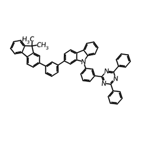 CC1(C)c2ccccc2-c2ccc(-c3cccc(-c4ccc5c6ccccc6n(-c6cccc(-c7nc(-c8ccccc8)nc(-c8ccccc8)n7)c6)c5c4)c3)cc21